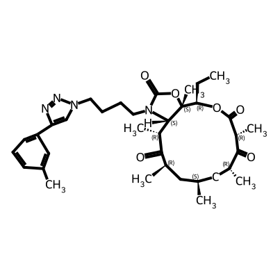 CC[C@H]1OC(=O)[C@H](C)C(=O)[C@H](C)C[C@@H](C)C[C@@H](C)C(=O)[C@H](C)[C@@H]2N(CCCCn3cc(-c4cccc(C)c4)nn3)C(=O)O[C@@]21C